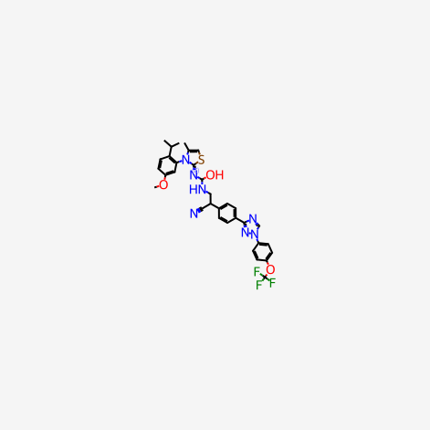 COc1ccc(C(C)C)c(-n2c(C)cs/c2=N\C(O)NCC(C#N)c2ccc(-c3ncn(-c4ccc(OC(F)(F)F)cc4)n3)cc2)c1